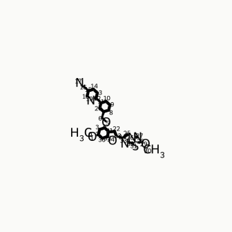 COc1cc(OCc2cccc(-c3ccc(C#N)cn3)c2)c2cc(-c3cn4nc(OC)sc4n3)oc2c1